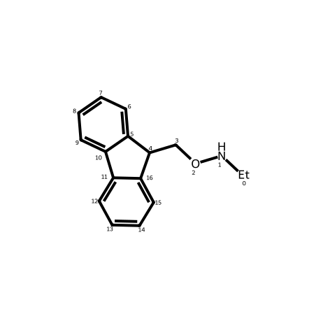 CCNOCC1c2ccccc2-c2ccccc21